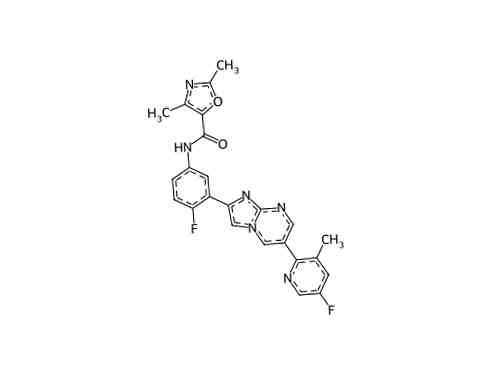 Cc1nc(C)c(C(=O)Nc2ccc(F)c(-c3cn4cc(-c5ncc(F)cc5C)cnc4n3)c2)o1